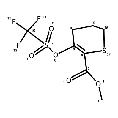 COC(=O)C1=C(OS(=O)(=O)C(F)(F)F)CCCS1